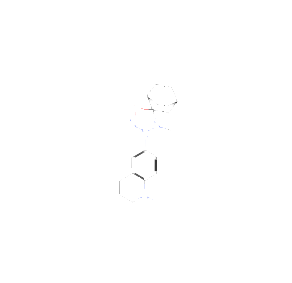 CN1CCCc2cc(N3NOC4(CC5CCC4CC5)N3C)ccc21